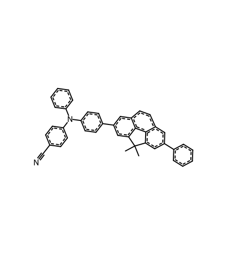 CC1(C)c2cc(-c3ccccc3)cc3ccc4cc(-c5ccc(N(c6ccccc6)c6ccc(C#N)cc6)cc5)cc1c4c23